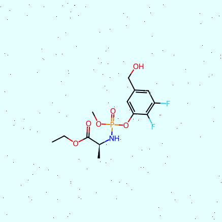 CCOC(=O)[C@H](C)NP(=O)(OC)Oc1cc(CO)cc(F)c1F